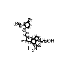 C[C@H](Cc1cc(C(N)=O)c2c(ccn2CCCO)c1)NCCOc1ccc(Br)cc1OC(C)(C)C